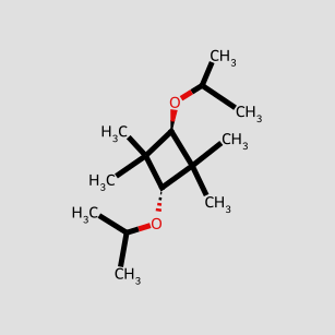 CC(C)O[C@H]1C(C)(C)[C@H](OC(C)C)C1(C)C